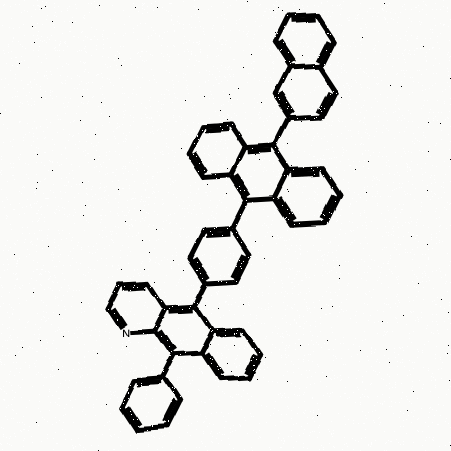 c1ccc(-c2c3ccccc3c(-c3ccc(-c4c5ccccc5c(-c5ccc6ccccc6c5)c5ccccc45)cc3)c3cccnc23)cc1